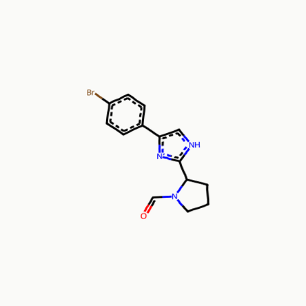 O=CN1CCCC1c1nc(-c2ccc(Br)cc2)c[nH]1